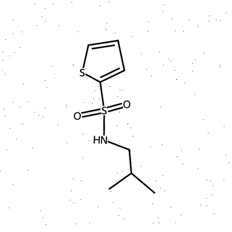 CC(C)CNS(=O)(=O)c1cccs1